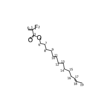 C=C(F)C(=O)OCCCCCCCCCCCC=CC